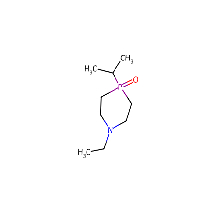 CCN1CCP(=O)(C(C)C)CC1